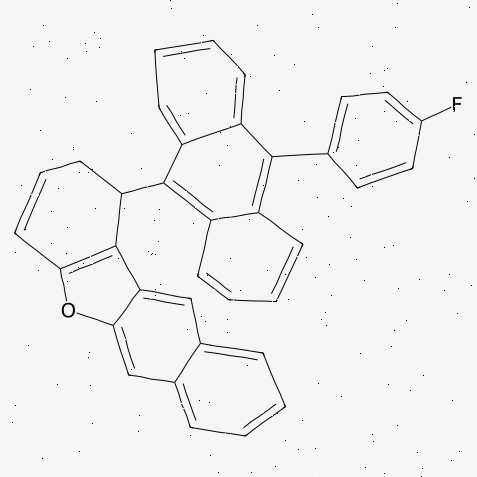 Fc1ccc(-c2c3ccccc3c(C3CC=Cc4oc5cc6ccccc6cc5c43)c3ccccc23)cc1